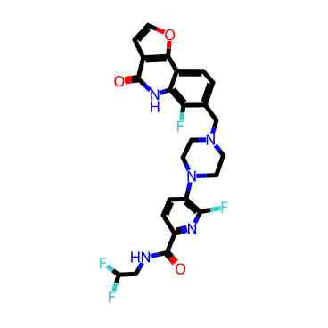 O=C(NCC(F)F)c1ccc(N2CCN(Cc3ccc4c([nH]c(=O)c5ccoc54)c3F)CC2)c(F)n1